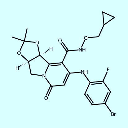 CC1(C)O[C@@H]2Cn3c(c(C(=O)NOCC4CC4)c(Nc4ccc(Br)cc4F)cc3=O)[C@@H]2O1